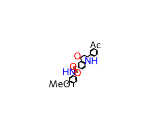 COc1cc(NS(=O)(=O)c2ccc3c(c2)C(=O)CC(c2cccc(C(C)=O)c2)N3)ccc1C